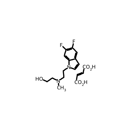 CN(CCO)CCn1ccc2cc(F)c(F)cc21.O=C(O)/C=C/C(=O)O